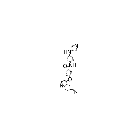 N#CC1CCc2nccc(Oc3ccc(C(=O)Nc4ccc(Nc5ccncc5)cc4)cc3)c2C1